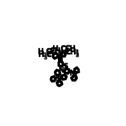 CC(C)(C)c1ccc2c(c1)c1cc(C(C)(C)C)ccc1n2-c1ccc2c(c1)Sc1cc(-n3c4ccccc4c4ccccc43)ccc1N2c1cccc([Si](c2ccccc2)(c2ccccc2)c2ccccc2)c1